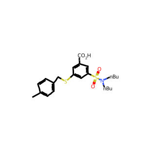 CCCCN(CCCC)S(=O)(=O)c1cc(SCc2ccc(C)cc2)cc(C(=O)O)c1